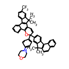 CC1(C)c2cc(C3(c4ccc(N5CCOCC5)cc4)C=Cc4c5c(c6ccccc6c4O3)-c3ccc(C(F)(F)F)cc3C5(C)C)ccc2-c2c1ccc1ccccc21